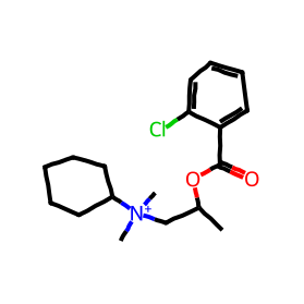 CC(C[N+](C)(C)C1CCCCC1)OC(=O)c1ccccc1Cl